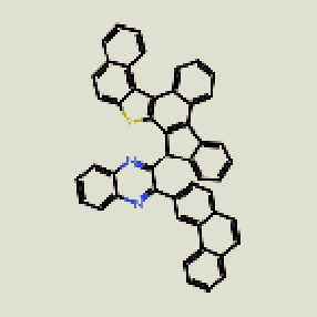 c1ccc2c(c1)-c1c(c3sc4ccc5ccccc5c4c3c3ccccc13)[C@@H]2c1nc2ccccc2nc1-c1ccc2ccc3ccccc3c2c1